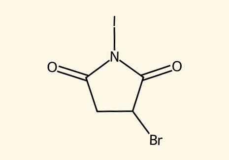 O=C1CC(Br)C(=O)N1I